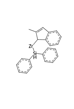 CC1=Cc2ccccc2[CH]1[Zr][SiH](c1ccccc1)c1ccccc1